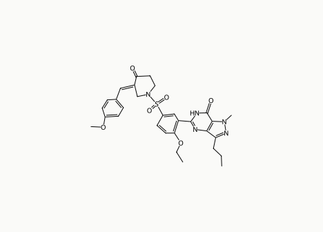 CCCc1nn(C)c2c(=O)[nH]c(-c3cc(S(=O)(=O)N4CCC(=O)/C(=C/c5ccc(OC)cc5)C4)ccc3OCC)nc12